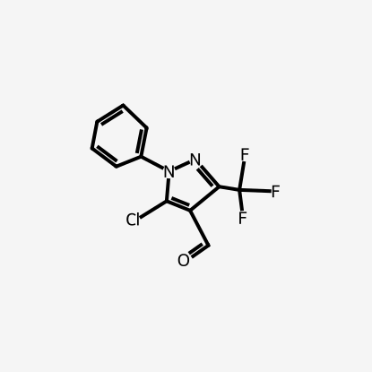 O=Cc1c(C(F)(F)F)nn(-c2ccccc2)c1Cl